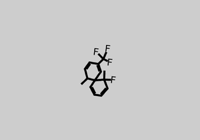 CC1C=CC(C(F)(F)F)=CC12C=CC=CC2(C)F